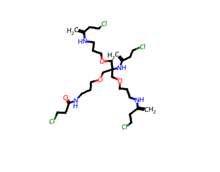 C=C(CCCl)NCCCOCC(COCCCNC(=C)CCCl)(COCCCNC(=O)CCCl)NC(=C)CCCl